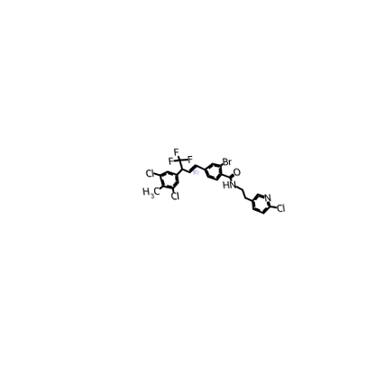 Cc1c(Cl)cc(C(/C=C/c2ccc(C(=O)NCCc3ccc(Cl)nc3)c(Br)c2)C(F)(F)F)cc1Cl